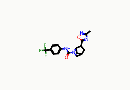 Cc1noc(C2CC3CC2N(C(=O)Nc2ccc(C(F)(F)F)cc2)C3)n1